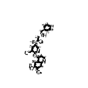 COc1cc2nccc(Oc3ncc(NC(=O)CNCc4ccccc4)cc3Cl)c2cc1OC